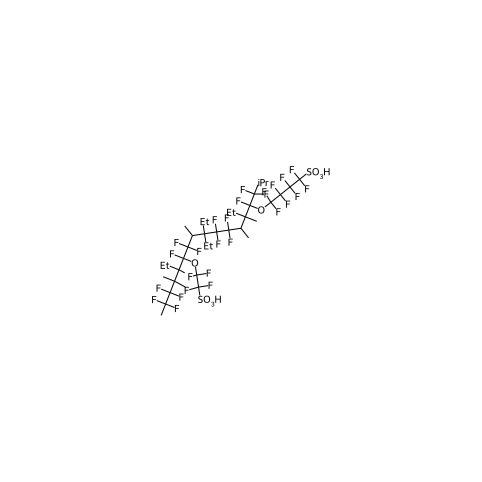 CCC(C)(C(C)C(F)(F)C(F)(F)C(CC)(CC)C(C)C(F)(F)C(F)(OC(F)(F)C(F)(F)S(=O)(=O)O)C(C)(CC)C(C)(C)C(F)(F)C(C)(F)F)C(F)(OC(F)(F)C(F)(F)C(F)(F)C(F)(F)S(=O)(=O)O)C(F)(F)C(C)C